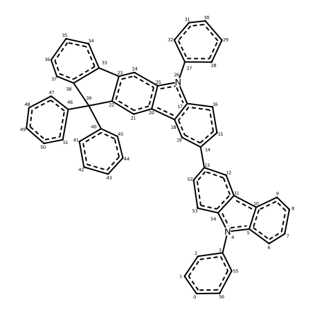 c1ccc(-n2c3ccccc3c3cc(-c4ccc5c(c4)c4cc6c(cc4n5-c4ccccc4)-c4ccccc4C6(c4ccccc4)c4ccccc4)ccc32)cc1